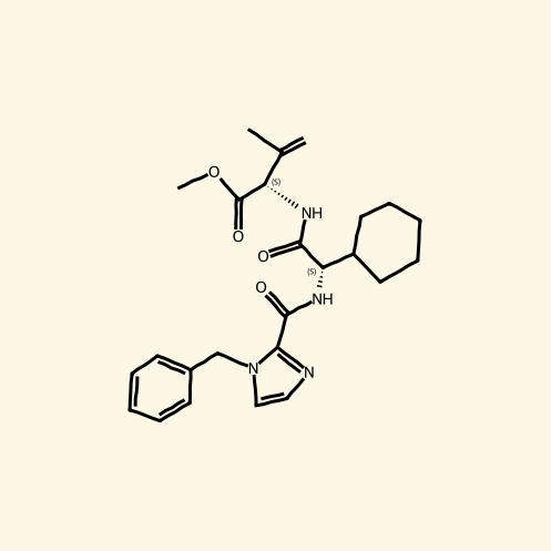 C=C(C)[C@H](NC(=O)[C@@H](NC(=O)c1nccn1Cc1ccccc1)C1CCCCC1)C(=O)OC